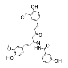 COc1cc(/C=C/C(CC(=O)/C=C/c2ccc(O)c(C=O)c2)=N\NC(=O)c2cccc(O)c2)ccc1O